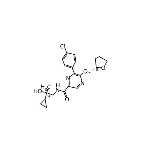 C[C@@](O)(CNC(=O)c1cnc(OC[C@@H]2CCCO2)c(-c2ccc(Cl)cc2)n1)C1CC1